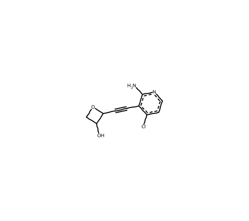 Nc1nccc(Cl)c1C#CC1OCC1O